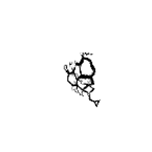 COc1ccc2c3c1O[C@H]1C(=O)CC[C@@]4(O)[C@@H]5N(CC6CC6)C[C@]5(C2)C[C@]314